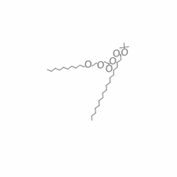 CCCCCCCCCCCCCCCC(CC(=O)OC(C)(C)C)OC(=O)COCCOCCCCCCCCCC